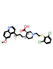 COc1ccc2nccc([C@H](F)CC[C@@H]3CCN(CCSc4c(Cl)cccc4Cl)C[C@@H]3C(=O)O)c2c1